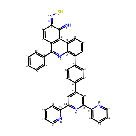 N=C1/C(=N\S)C=Cc2c(-c3ccccc3)nc3c(-c4ccc(-c5cc(-c6ccccn6)nc(-c6ccccn6)c5)cc4)cccc3c21